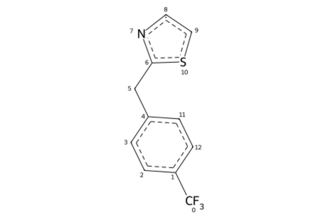 FC(F)(F)c1ccc(Cc2n[c]cs2)cc1